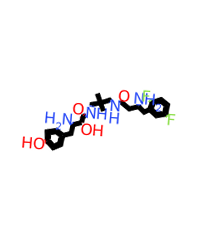 CC(C)(CNC(=O)CC(N)Cc1cc(F)ccc1F)CNC(=O)C(O)C(N)Cc1ccc(O)cc1